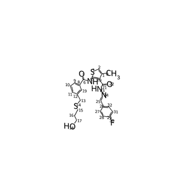 Cc1csc(NC(=O)c2cccc(CSCCCO)c2)c1C(=O)NN=Cc1ccc(F)cc1